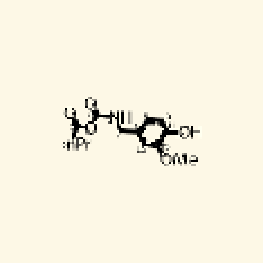 CCCC(=O)OC(=O)NCc1ccc(O)c(OC)c1